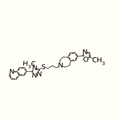 Cc1cnc(-c2ccc3c(c2)CCN(CCCSc2nnc(-c4ccc5ncccc5c4)n2C)CC3)o1